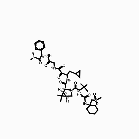 CN(C)C(=O)[C@@H](NC(=O)CNC(=O)C(=O)C(CC1CC1)NC(=O)[C@@H]1[C@@H]2[C@H](CN1C(=O)[C@@H](NC(=O)NC1(CS(C)(=O)=O)CCCCC1)C(C)(C)C)C2(C)C)c1ccccc1